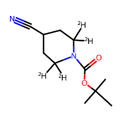 [2H]C1([2H])CC(C#N)CC([2H])([2H])N1C(=O)OC(C)(C)C